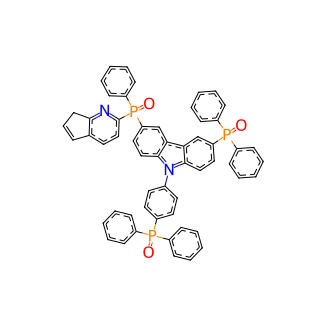 O=P(c1ccccc1)(c1ccccc1)c1ccc(-n2c3ccc(P(=O)(c4ccccc4)c4ccccc4)cc3c3cc(P(=O)(c4ccccc4)c4ccc5c(n4)CC=C5)ccc32)cc1